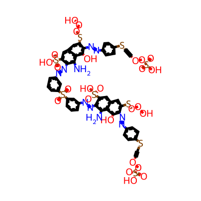 Nc1c(N=Nc2cccc(S(=O)(=O)c3cccc(N=Nc4c(S(=O)(=O)O)cc5cc(SOOO)c(N=Nc6ccc(SC#COOS(=O)(=O)O)cc6)c(O)c5c4N)c3)c2)c(S(=O)(=O)O)cc2cc(SOOO)c(N=Nc3ccc(SC#COOS(=O)(=O)O)cc3)c(O)c12